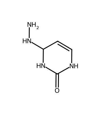 NNC1C=CNC(=O)N1